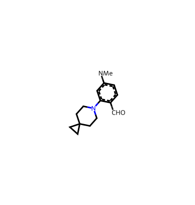 CNc1ccc(C=O)c(N2CCC3(CC2)CC3)c1